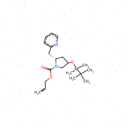 C=CCOC(=O)N1C[C@H](O[Si](C)(C)C(C)(C)C)C[C@H]1Cc1ccccn1